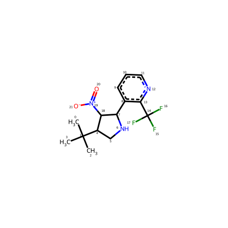 CC(C)(C)C1CNC(c2cccnc2C(F)(F)F)C1[N+](=O)[O-]